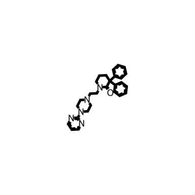 O=C1N(CCN2CCN(c3ncccn3)CC2)CCCC1(c1ccccc1)c1ccccc1